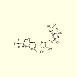 O=P(O)(O)OP(=O)(O)OP(=O)(O)OC[C@H]1O[C@@H](c2cc3ncc(C(F)(F)F)[nH]c-3nc2=S)[C@@H](O)C1O